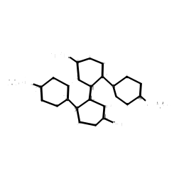 CCCCC1CCC(C2CCC(OC)CC2)C(C2CC(CC)CCC2C2CCC(OC)CC2)C1